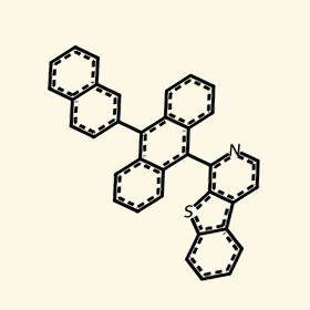 c1ccc2cc(-c3c4ccccc4c(-c4nccc5c4sc4ccccc45)c4ccccc34)ccc2c1